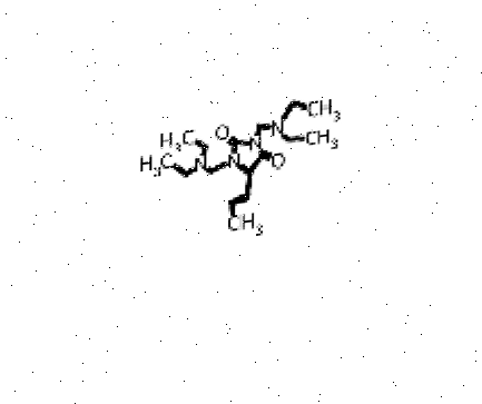 CC=CC1C(=O)N(CN(CC)CC)C(=O)N1CN(CC)CC